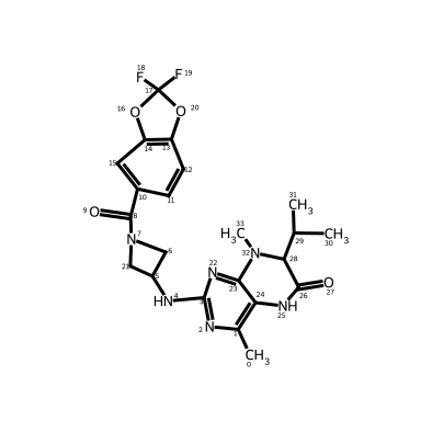 Cc1nc(NC2CN(C(=O)c3ccc4c(c3)OC(F)(F)O4)C2)nc2c1NC(=O)C(C(C)C)N2C